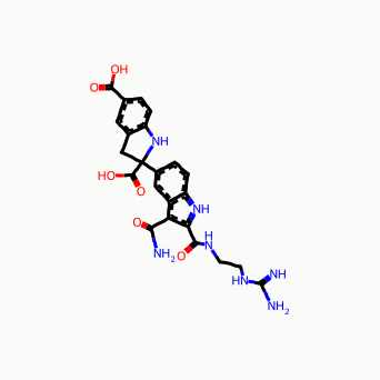 N=C(N)NCCNC(=O)c1[nH]c2ccc(C3(C(=O)O)Cc4cc(C(=O)O)ccc4N3)cc2c1C(N)=O